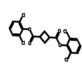 O=C(Oc1c(Cl)cccc1Cl)C1CC(C(=O)Oc2c(Cl)cccc2Cl)C1